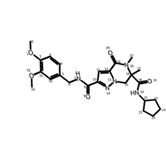 COc1ccc(CNC(=O)c2cc3n(n2)CC(C)(C(=O)NC2CCCC2)N(C)C3=O)cc1OC